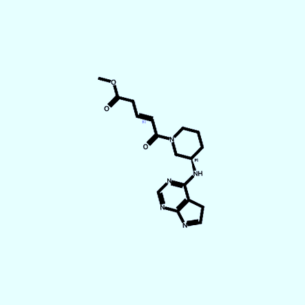 COC(=O)C/C=C/C(=O)N1CCC[C@@H](Nc2ncnc3c2CC=N3)C1